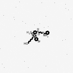 COc1ccc(NC(=O)/C=C/N=C(\N)c2ccccc2)cc1S(=O)(=O)N(CCCCCCO)c1ccc(Br)cc1